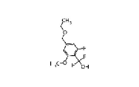 CCOCc1cc(F)c(C(O)(F)F)c(OC)c1